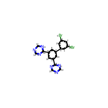 Brc1cc(Br)cc(-c2cc(-c3ncncn3)cc(-c3ncncn3)c2)c1